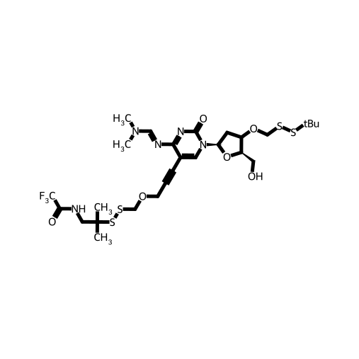 CN(C)/C=N/c1nc(=O)n([C@H]2CC(OCSSC(C)(C)C)[C@@H](CO)O2)cc1C#CCOCSSC(C)(C)CNC(=O)C(F)(F)F